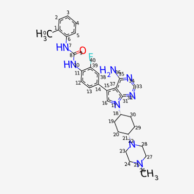 Cc1ccccc1NC(=O)Nc1ccc(-c2cn([C@H]3CC[C@@H](N4CCN(C)CC4)CC3)c3ncnc(N)c23)cc1F